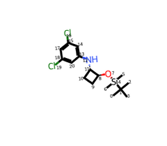 CC(C)(C)[Si](C)(C)O[C@H]1CC[C@@H]1Nc1cc(Cl)cc(Cl)c1